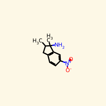 CC1Cc2ccc([N+](=O)[O-])cc2C1(C)N